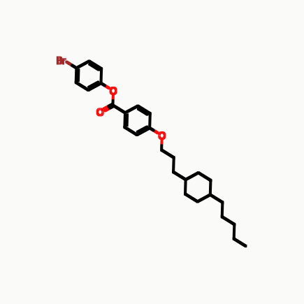 CCCCCC1CCC(CCCOc2ccc(C(=O)Oc3ccc(Br)cc3)cc2)CC1